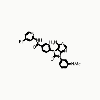 CCc1ccnc(NC(=O)c2ccc(-n3c(=O)n(-c4cccc(NC)c4)c4ncnc(N)c43)cc2)c1